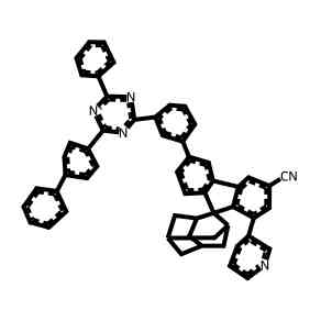 N#Cc1cc(-c2cccnc2)c2c(c1)-c1cc(-c3cccc(-c4nc(-c5ccccc5)nc(-c5ccc(-c6ccccc6)cc5)n4)c3)ccc1C21C2CC3CC(C2)CC1C3